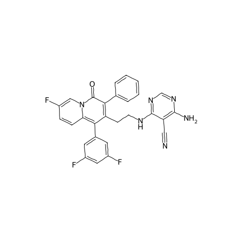 N#Cc1c(N)ncnc1NCCc1c(-c2ccccc2)c(=O)n2cc(F)ccc2c1-c1cc(F)cc(F)c1